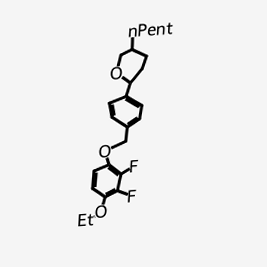 CCCCCC1CCC(c2ccc(COc3ccc(OCC)c(F)c3F)cc2)OC1